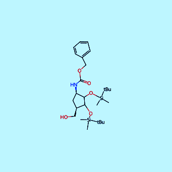 CC(C)(C)[Si](C)(C)OC1C(O[Si](C)(C)C(C)(C)C)[C@H](NC(=O)OCc2ccccc2)C[C@@H]1CO